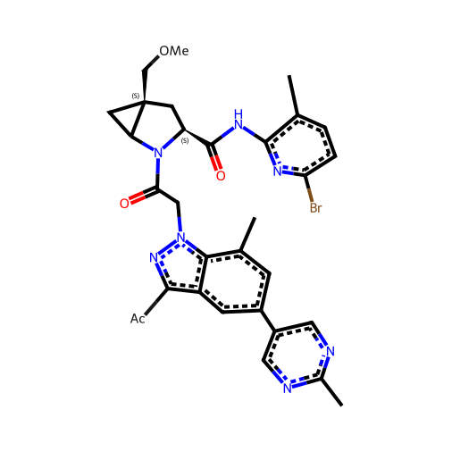 COC[C@]12CC1N(C(=O)Cn1nc(C(C)=O)c3cc(-c4cnc(C)nc4)cc(C)c31)[C@H](C(=O)Nc1nc(Br)ccc1C)C2